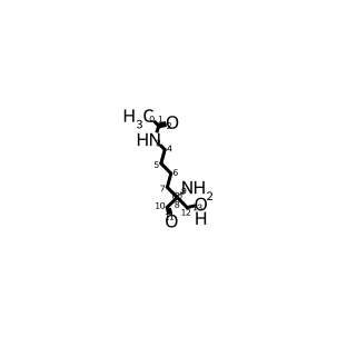 CC(=O)NCCCC[C@](N)(C=O)CO